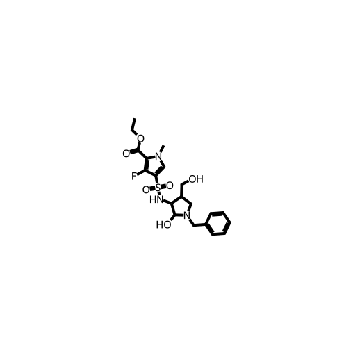 CCOC(=O)c1c(F)c(S(=O)(=O)NC2C(CO)CN(Cc3ccccc3)C2O)cn1C